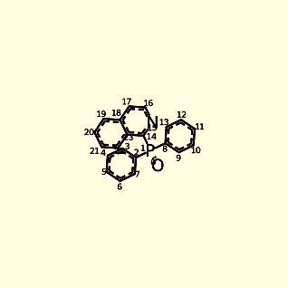 O=P(c1ccccc1)(c1ccccc1)c1nccc2ccccc12